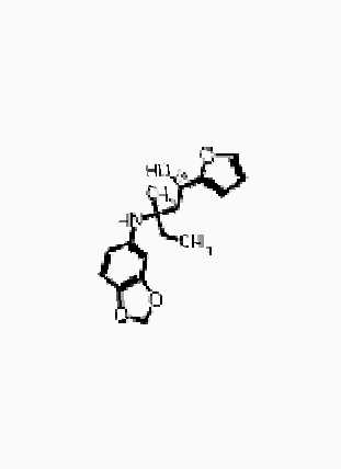 CCC(C)(C[C@@H](O)c1ccco1)Nc1ccc2c(c1)OCO2